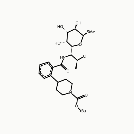 CS[C@H]1O[C@H](C(NC(=O)c2ccccc2C2CCN(C(=O)OC(C)(C)C)CC2)[C@H](C)Cl)[C@H](O)[C@H](O)[C@H]1O